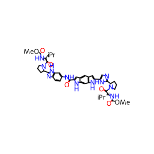 COC(=O)N[C@H](C(=O)N1CCCC1c1nc2ccc(NC(=O)c3cc4cc5cc(-c6cnc(C7CCCN7C(=O)[C@H](NC(=O)OC)C(C)C)[nH]6)[nH]c5cc4[nH]3)cc2[nH]1)C(C)C